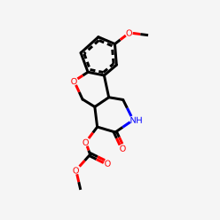 COC(=O)OC1C(=O)NCC2c3cc(OC)ccc3OCC12